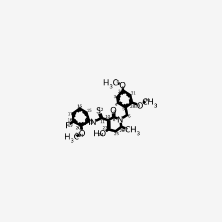 COc1ccc(CN2C(=O)C(C(=S)Nc3cccc(F)c3OC)=C(O)CC2C)c(OC)c1